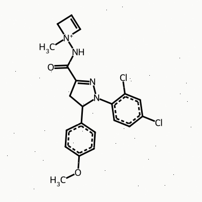 COc1ccc(C2CC(C(=O)N[N+]3(C)C=CC3)=NN2c2ccc(Cl)cc2Cl)cc1